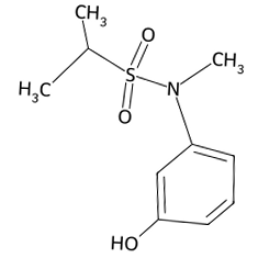 CC(C)S(=O)(=O)N(C)c1cccc(O)c1